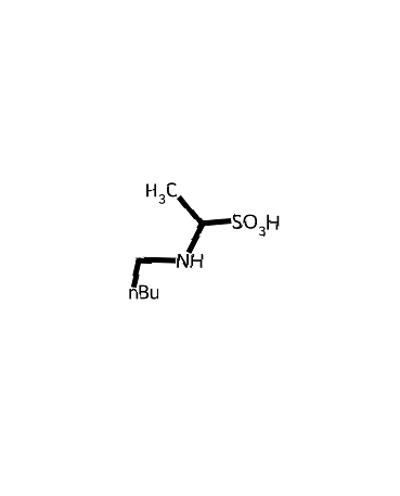 CCCCCNC(C)S(=O)(=O)O